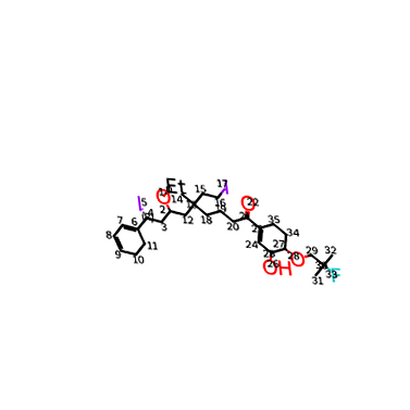 CCOC(C[C@@H](I)C1=CC=CCC1)CC(C)(CCI)CCCC(=O)C1=CC(O)C(OCC(C)(C)F)CC1